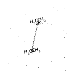 C=C(C)C(=O)OCCCCCCCCCCCCCCCCCCCC[Si](C)(C)F